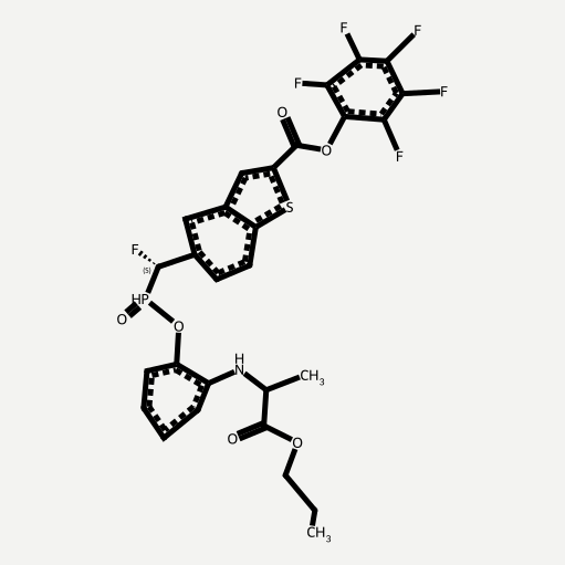 CCCOC(=O)C(C)Nc1ccccc1O[PH](=O)[C@H](F)c1ccc2sc(C(=O)Oc3c(F)c(F)c(F)c(F)c3F)cc2c1